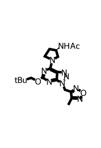 CC(=O)N[C@H]1CCN(c2nc(OCC(C)(C)C)nc3c2nnn3Cc2nonc2C)C1